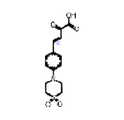 O=C(O)C(=O)/C=C/c1ccc(N2CCS(=O)(=O)CC2)cc1